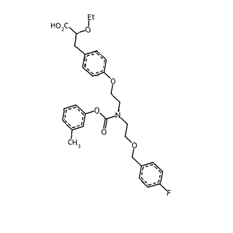 CCOC(Cc1ccc(OCCN(CCOCc2ccc(F)cc2)C(=O)Oc2cccc(C)c2)cc1)C(=O)O